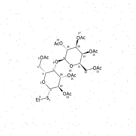 CCS[C@@H]1O[C@H](COC(C)=O)[C@H](O[C@@H]2O[C@H](COC(C)=O)[C@H](OC(C)=O)[C@H](OC(C)=O)[C@H]2OC(C)=O)[C@H](OC(C)=O)[C@H]1OC(C)=O